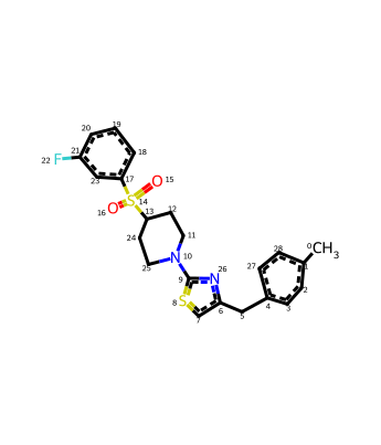 Cc1ccc(Cc2csc(N3CCC(S(=O)(=O)c4cccc(F)c4)CC3)n2)cc1